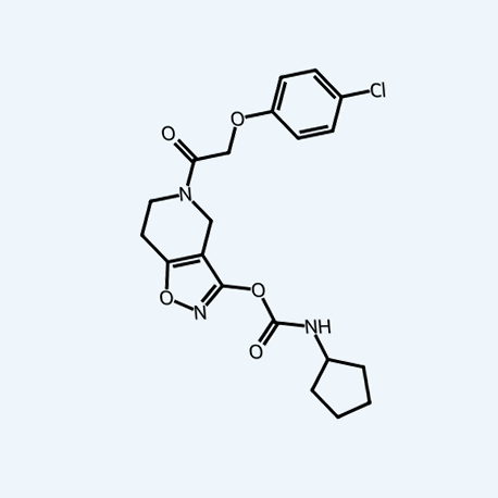 O=C(NC1CCCC1)Oc1noc2c1CN(C(=O)COc1ccc(Cl)cc1)CC2